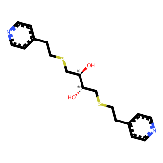 O[C@H](CSCCc1ccncc1)[C@@H](O)CSCCc1ccncc1